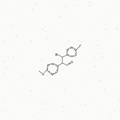 COc1ccc(C(C=O)C(Br)c2ccc(F)cc2)cc1